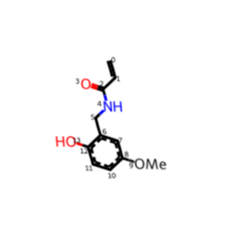 C=CC(=O)NCc1cc(OC)ccc1O